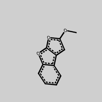 COc1cc2c(o1)oc1ccccc12